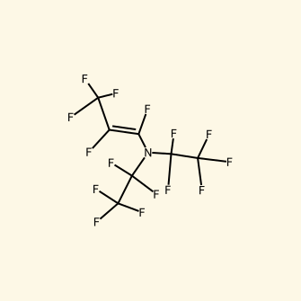 F/C(=C(/F)C(F)(F)F)N(C(F)(F)C(F)(F)F)C(F)(F)C(F)(F)F